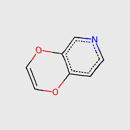 C1=COc2cnccc2O1